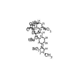 Cc1cc(C#N)n(-c2ccc(CN(C(=O)OC(C)(C)C)c3c(NC(=O)OC(C)(C)C)cccc3[N+](=O)[O-])cc2)c1